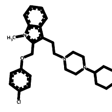 Cn1c(COc2ccc(Cl)cc2)c(CCN2CCN(C3CCCCC3)CC2)c2ccccc21